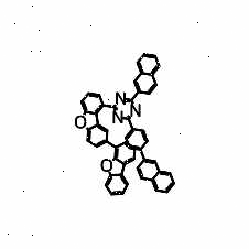 c1ccc2cc(-c3ccc(-c4nc(-c5ccc6ccccc6c5)nc(-c5cccc6oc7ccc(-c8cccc9c8oc8ccccc89)cc7c56)n4)cc3)ccc2c1